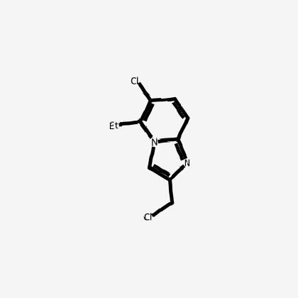 CCc1c(Cl)ccc2nc(CCl)cn12